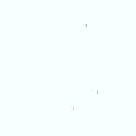 Cc1cc(O)c(/C=C/C(N)=O)cc1O